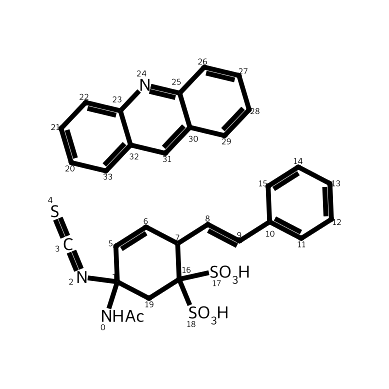 CC(=O)NC1(N=C=S)C=CC(C=Cc2ccccc2)C(S(=O)(=O)O)(S(=O)(=O)O)C1.c1ccc2nc3ccccc3cc2c1